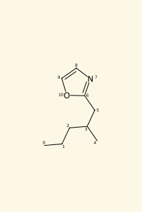 CCCC(C)Cc1ncco1